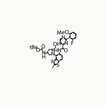 COc1cccc(F)c1-c1nccc(C(=O)Nc2ccc3sc(C)nc3c2N2C[C@H](NC(=O)OC(C)(C)C)C[C@H]2CO)n1